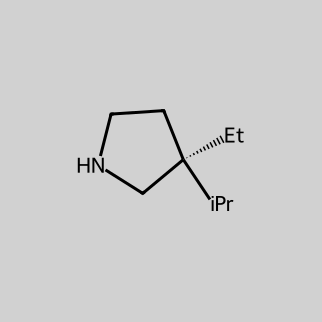 CC[C@@]1(C(C)C)CCNC1